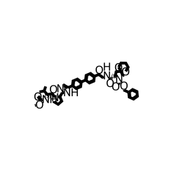 COC(=O)N[C@H](C(=O)N1CCCC1c1ncc(-c2ccc(-c3ccc(C(=O)CNC(=O)[C@@H]4CC5(CN4C(=O)OCc4ccccc4)OCCCO5)cc3)cc2)[nH]1)C(C)C